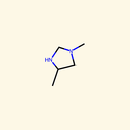 CC1[CH]N(C)CN1